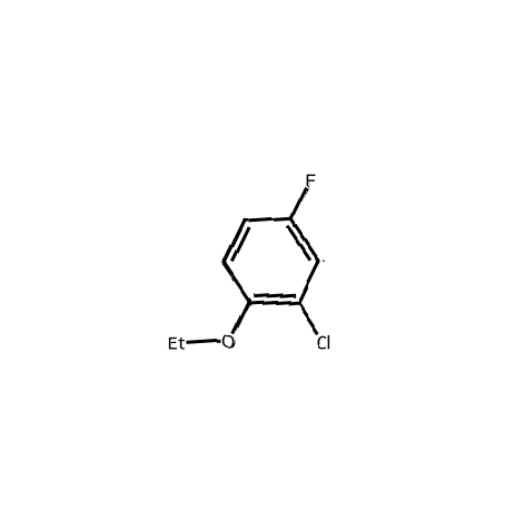 CCOc1ccc(F)[c]c1Cl